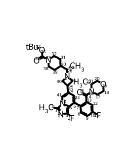 Cc1nc(F)c2c(-c3ccc(F)cc3C(=O)N3CCOC[C@H]3C)cc(C3CN([C@@H](C)C4CCN(C(=O)OC(C)(C)C)CC4)C3)cn12